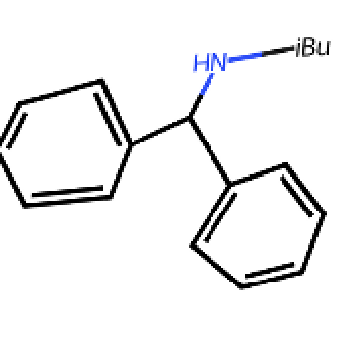 CCC(C)NC(c1ccccc1)c1ccccc1